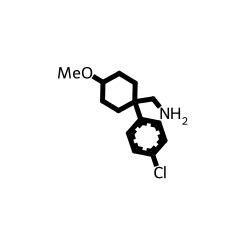 COC1CCC(CN)(c2ccc(Cl)cc2)CC1